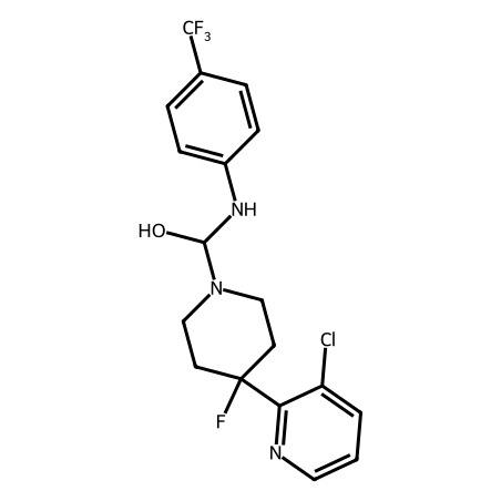 OC(Nc1ccc(C(F)(F)F)cc1)N1CCC(F)(c2ncccc2Cl)CC1